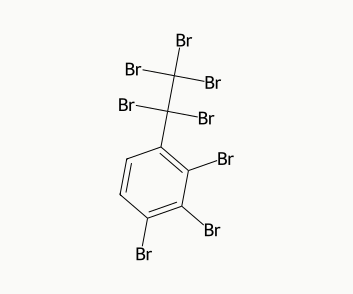 Brc1ccc(C(Br)(Br)C(Br)(Br)Br)c(Br)c1Br